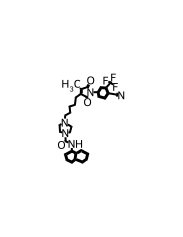 CC1=C(CCCCCN2CCN(C(=O)Nc3cccc4ccccc34)CC2)C(=O)N(c2ccc(C#N)c(C(F)(F)F)c2)C1=O